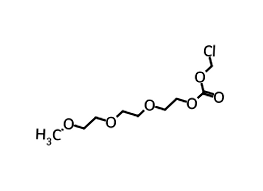 COCCOCCOCCOC(=O)OCCl